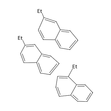 CCc1ccc2ccccc2c1.CCc1ccc2ccccc2c1.CCc1cccc2ccccc12